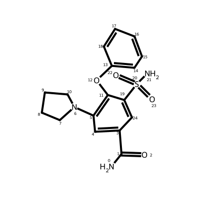 NC(=O)c1cc(N2CCCC2)c(Oc2ccccc2)c(S(N)(=O)=O)c1